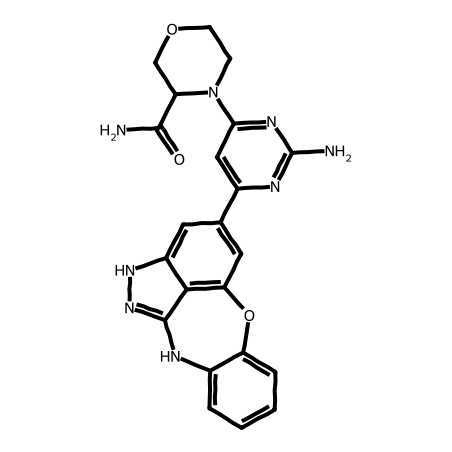 NC(=O)C1COCCN1c1cc(-c2cc3c4c(n[nH]c4c2)Nc2ccccc2O3)nc(N)n1